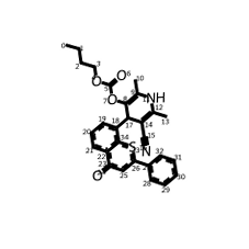 CCCCOC(=O)OC1=C(C)NC(C)=C(C#N)C1c1cccc2c(=O)cc(-c3ccccc3)sc12